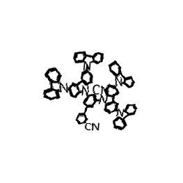 N#Cc1cccc(-c2cc(-n3c4ccc(-n5c6ccccc6c6ccccc65)cc4c4cc(-n5c6ccccc6c6ccccc65)ccc43)c(C#N)c(-n3c4ccc(-n5c6ccccc6c6ccccc65)cc4c4cc(-n5c6ccccc6c6ccccc65)ccc43)c2)c1